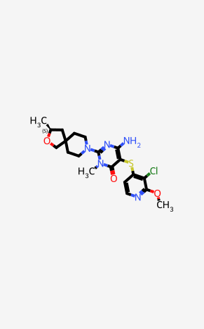 COc1nccc(Sc2c(N)nc(N3CCC4(CC3)CO[C@@H](C)C4)n(C)c2=O)c1Cl